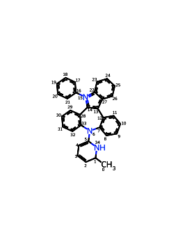 CC1C=CC=C(N2c3ccccc3-c3c(n(-c4ccccc4)c4ccccc34)-c3ccccc32)N1